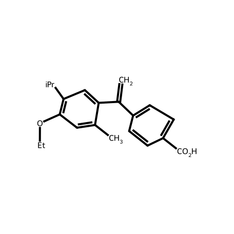 C=C(c1ccc(C(=O)O)cc1)c1cc(C(C)C)c(OCC)cc1C